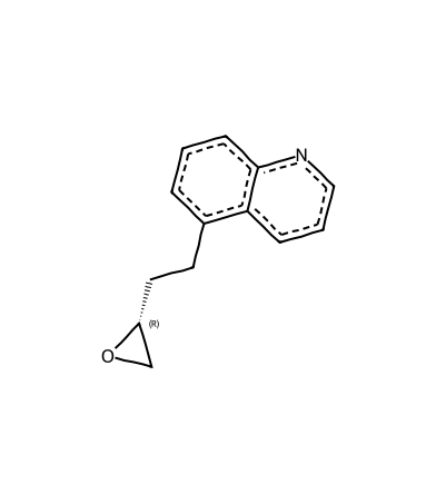 c1cc(CC[C@@H]2CO2)c2cccnc2c1